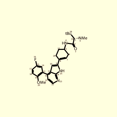 CN[C@H](C(=O)NC1CC=C(c2cc3c(-c4cc(F)ccc4OC)ccnc3[nH]2)CC1)C(C)(C)C